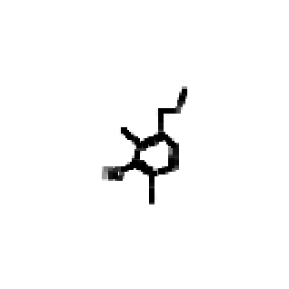 CCCc1ccc(C)c(O)c1C